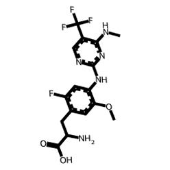 CNc1nc(Nc2cc(F)c(CC(N)C(=O)O)cc2OC)ncc1C(F)(F)F